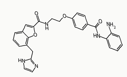 Nc1ccccc1NC(=O)c1ccc(OCCNC(=O)c2cc3cccc(Cc4ncc[nH]4)c3o2)cc1